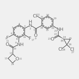 O=C(Nc1ccc(F)c(NC(=O)C2CCO2)c1F)c1cc(NC(=O)[C@H]2CC2(Cl)Cl)ccc1Cl